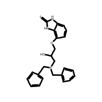 OC(COc1cccc2[nH]c(=S)[nH]c12)CN(Cc1ccccc1)Cc1ccccc1